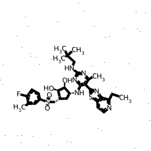 CCc1nccc2sc(-c3c(C)nc(NCC(C)(C)C)nc3N[C@@H]3C[C@H](CS(=O)(=O)c4ccc(F)c(C)c4)[C@@H](O)[C@H]3O)nc12